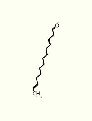 CC=CCCCCCCCC=CCC=O